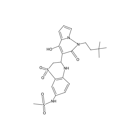 CC(C)(C)CCn1c(=O)c(C2CS(=O)(=O)c3cc(NS(C)(=O)=O)ccc3N2)c(O)c2cccn21